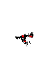 COc1cccc(CN(C(=O)C2=C(c3ccc(CCCOc4c(F)ccc(F)c4Cl)cc3)CC3CC(COC4CC4)CC2N3)C2CC2)c1C